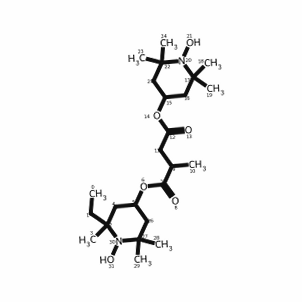 CCC1(C)CC(OC(=O)C(C)CC(=O)OC2CC(C)(C)N(O)C(C)(C)C2)CC(C)(C)N1O